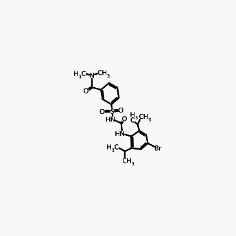 CC(C)c1cc(Br)cc(C(C)C)c1NC(=O)NS(=O)(=O)c1cccc(C(=O)N(C)C)c1